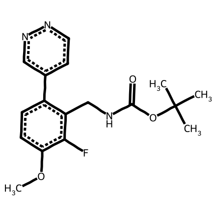 COc1ccc(-c2ccnnc2)c(CNC(=O)OC(C)(C)C)c1F